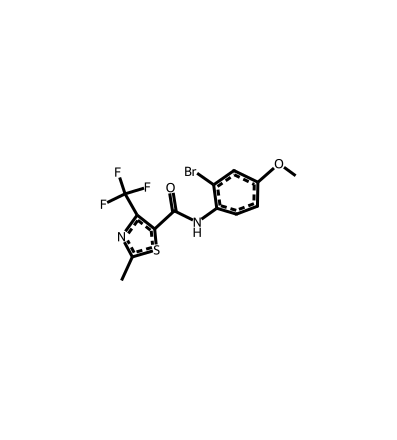 COc1ccc(NC(=O)c2sc(C)nc2C(F)(F)F)c(Br)c1